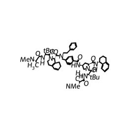 CN[C@@H](C)C(=O)NC(C(=O)N1CCC2=C(CCC=C2)[C@H]1C(=O)N(CCc1ccccc1)Cc1c#cc(C(=O)N[C@H]2C[C@@H](C(=O)N[C@@H]3CCCc4ccccc43)N(C(=O)[C@@H](NC(=O)[C@H](C)NC)C(C)(C)C)C2)cc1)C(C)(C)C